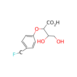 O=C(O)C(Oc1ccc(CF)cc1)C(O)CO